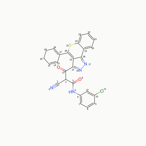 N#CC(C(=O)Nc1cccc(Cl)c1)C(=O)c1nnc2c3ccccc3sc(C3=CCCC=C3)c1-2